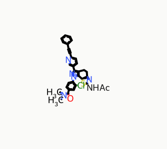 CC(=O)Nc1nc2c(s1)-c1c(c(-c3ccc(C#Cc4ccccc4)nc3)nn1-c1ccc(C(=O)N(C)C)cc1Cl)CC2